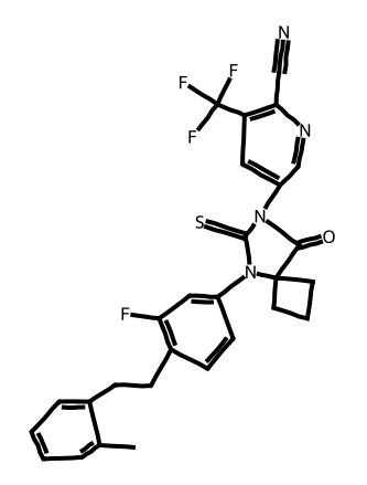 Cc1ccccc1CCc1ccc(N2C(=S)N(c3cnc(C#N)c(C(F)(F)F)c3)C(=O)C23CCC3)cc1F